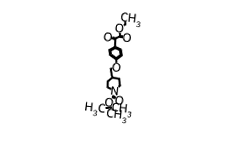 CCOC(=O)C(=O)c1ccc(OCC2CCN(C(=O)OC(C)(C)C)CC2)cc1